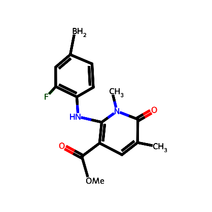 Bc1ccc(Nc2c(C(=O)OC)cc(C)c(=O)n2C)c(F)c1